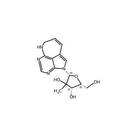 CC1(O)[C@@H](O)[C@@H](CO)O[C@H]1n1cc2c3c(ncnc31)NCC=C2